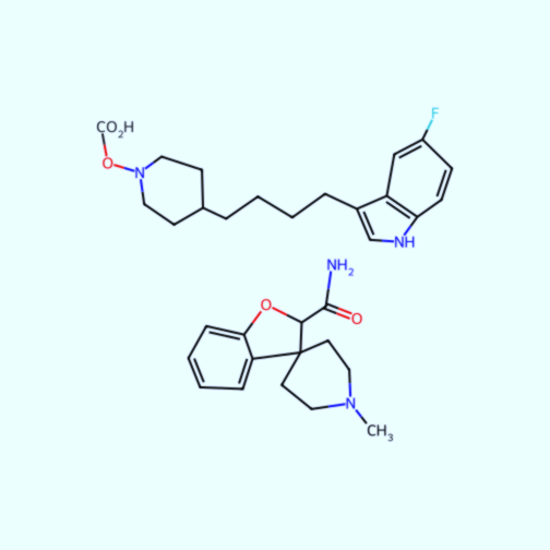 CN1CCC2(CC1)c1ccccc1OC2C(N)=O.O=C(O)ON1CCC(CCCCc2c[nH]c3ccc(F)cc23)CC1